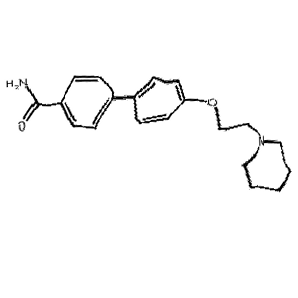 NC(=O)c1ccc(-c2ccc(OCCN3CCCCC3)cc2)cc1